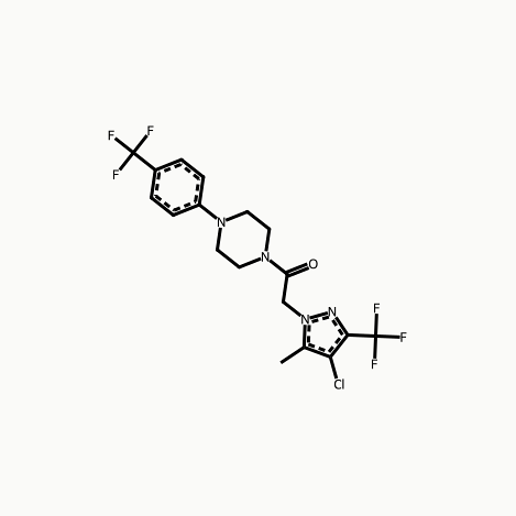 Cc1c(Cl)c(C(F)(F)F)nn1CC(=O)N1CCN(c2ccc(C(F)(F)F)cc2)CC1